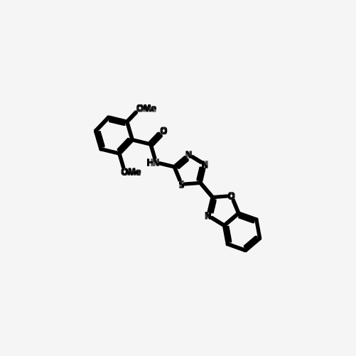 COc1cccc(OC)c1C(=O)Nc1nnc(-c2nc3ccccc3o2)s1